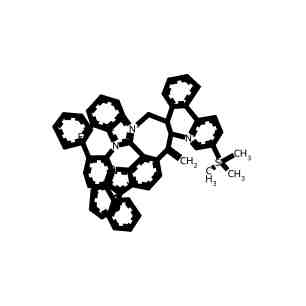 C=C1c2ccc3c(oc4ccccc43)c2-c2n(-c3cc(-c4ccccc4)ccc3-c3ccccc3)c3c(F)cccc3[n+]2CC2c3ccccc3-c3ccc([Si](C)(C)C)c[n+]3C12